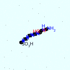 Cc1cc(N=Nc2cc(C)c(N=Nc3ccc4cc(NOc5ccc(N)cc5)ccc4c3O)cc2C)c(C)cc1N=Nc1cc(C)c(N=Nc2ccccc2S(=O)(=O)O)cc1C